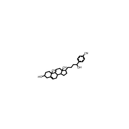 CC12CCC(O)CC1=CCC1C2CCC2(C)C(CCCC(O)c3ccc(C#N)cc3)CCC12